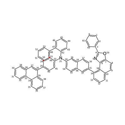 c1ccc(-c2nc3c(ccc4cccc(-c5ccc6cc(N(c7ccc(-c8cc9ccccc9c9ccccc89)cc7)c7ccccc7-c7ccccc7)ccc6c5)c43)o2)cc1